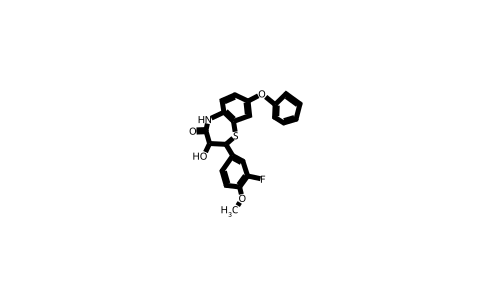 COc1ccc(C2Sc3cc(Oc4ccccc4)ccc3NC(=O)C2O)cc1F